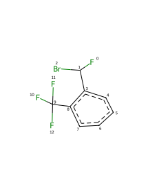 FC(Br)c1ccccc1C(F)(F)F